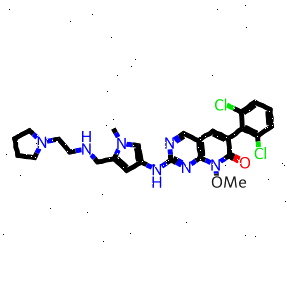 COn1c(=O)c(-c2c(Cl)cccc2Cl)cc2cnc(Nc3cc(CNCCN4CCCC4)n(C)c3)nc21